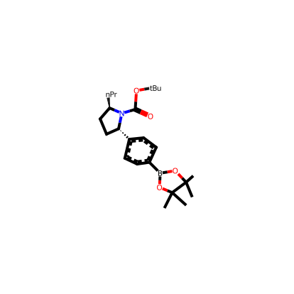 CCC[C@@H]1CC[C@@H](c2ccc(B3OC(C)(C)C(C)(C)O3)cc2)N1C(=O)OC(C)(C)C